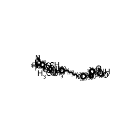 CC1(C)C(NC(=O)c2ccc(CCCCCCN3CCC(n4ccc5c(N6CCC(=O)NC6=O)cccc54)CC3)cc2)C(C)(C)C1Oc1ccc(C#N)c(C(F)(F)F)c1